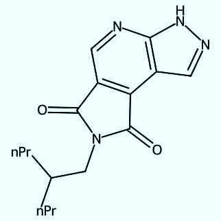 CCCC(CCC)CN1C(=O)c2cnc3[nH]ncc3c2C1=O